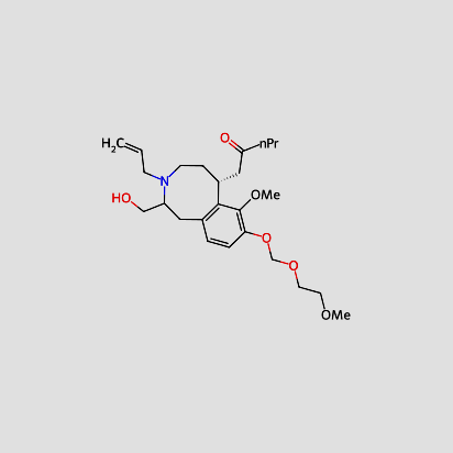 C=CCN1CC[C@H](CC(=O)CCC)c2c(ccc(OCOCCOC)c2OC)CC1CO